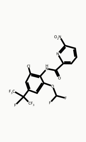 O=C(Nc1c(Cl)cc(C(F)(C(F)(F)F)C(F)(F)F)cc1OC(F)F)c1cccc([N+](=O)[O-])n1